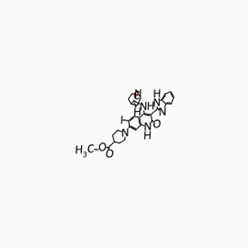 CCOC(=O)C1CCN(c2cc3[nH]c(=O)c(-c4nc5ccccc5[nH]4)c(N[C@H]4CN5CCC4CC5)c3cc2I)CC1